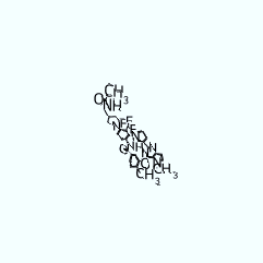 CC(=O)NCC1CCN(c2ccc(NC(=O)c3ccc(C)c(Oc4nc(-c5cccnc5)nc5ccn(C)c45)c3)cc2C(F)(F)F)CC1